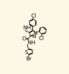 NCc1c(C(=O)NCc2ccc(Br)s2)nn(-c2ccccc2Cl)c1-c1ccc(Cl)cc1